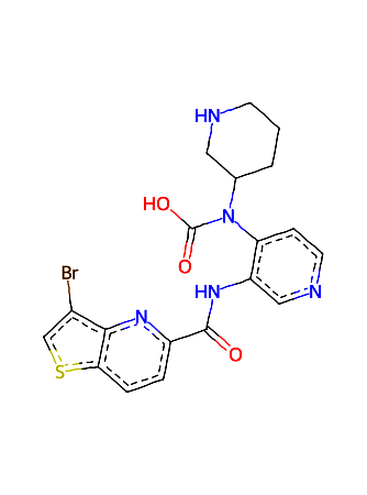 O=C(Nc1cnccc1N(C(=O)O)C1CCCNC1)c1ccc2scc(Br)c2n1